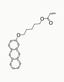 C=CC(=O)OCCCCCOc1ccc2cc3ccccc3cc2c1